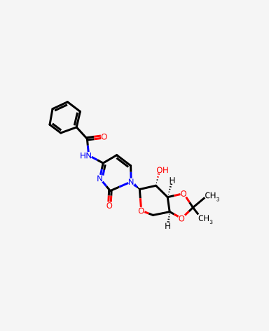 CC1(C)O[C@@H]2[C@@H](O)[C@H](n3ccc(NC(=O)c4ccccc4)nc3=O)OC[C@@H]2O1